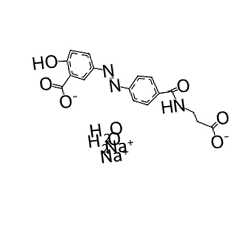 O.O.O=C([O-])CCNC(=O)c1ccc(/N=N/c2ccc(O)c(C(=O)[O-])c2)cc1.[Na+].[Na+]